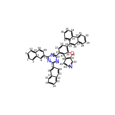 c1ccc2cc(-c3nc(-c4ccc5ccccc5c4)nc(-c4ccc(-c5cc6ccccc6c6ccccc56)c5oc6cnccc6c45)n3)ccc2c1